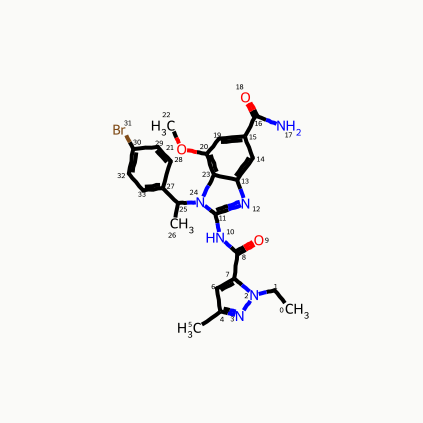 CCn1nc(C)cc1C(=O)Nc1nc2cc(C(N)=O)cc(OC)c2n1C(C)c1ccc(Br)cc1